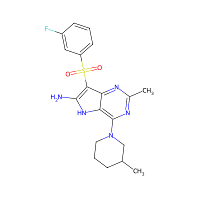 Cc1nc(N2CCCC(C)C2)c2[nH]c(N)c(S(=O)(=O)c3cccc(F)c3)c2n1